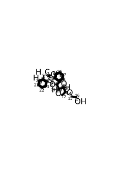 CC(C)(C)[Si](O[C@H]1CO[C@H]2[C@@H]1OC[C@H]2OCCO)(c1ccccc1)c1ccccc1